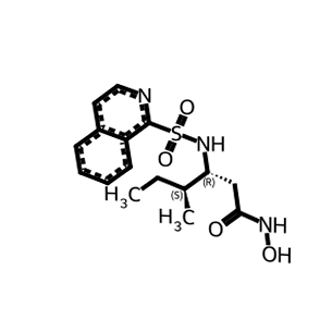 CC[C@H](C)[C@@H](CC(=O)NO)NS(=O)(=O)c1nccc2ccccc12